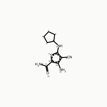 N#Cc1c(NC2CCCC2)sc(C(N)=O)c1N